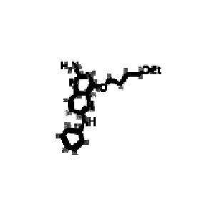 CCOCCCCOc1nc(N)nc2ccc(Nc3ccccc3)nc12